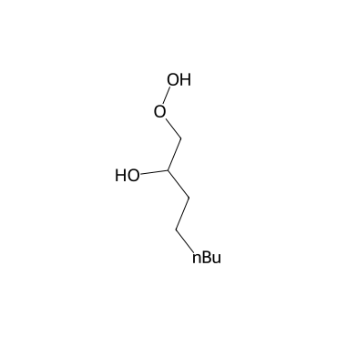 CCCCCCC(O)COO